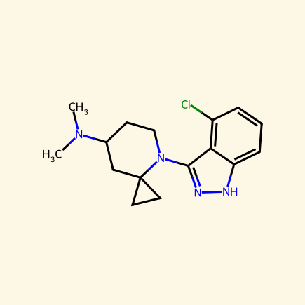 CN(C)C1CCN(c2n[nH]c3cccc(Cl)c23)C2(CC2)C1